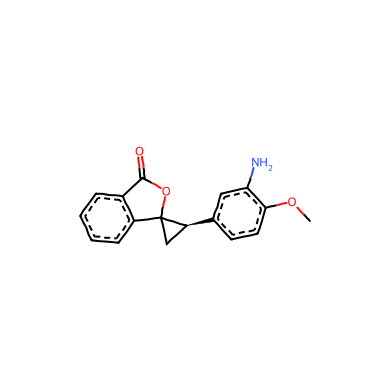 COc1ccc([C@H]2CC23OC(=O)c2ccccc23)cc1N